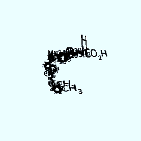 Cc1cccc(OCCCC(=O)N2CCCc3c(-c4cnn(Cc5cccc(OCCCNC(=O)O)c5)c4)cccc32)c1C